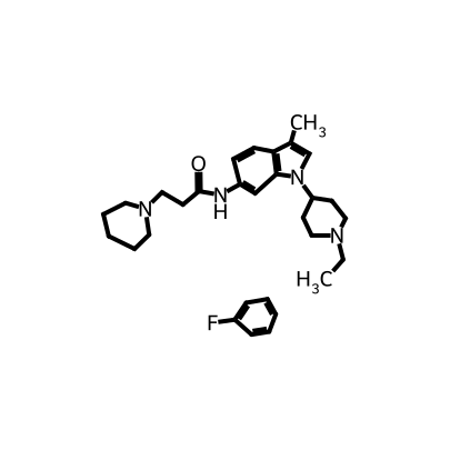 CCN1CCC(n2cc(C)c3ccc(NC(=O)CCN4CCCCC4)cc32)CC1.Fc1ccccc1